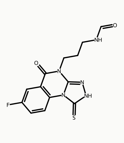 O=CNCCCn1c(=O)c2cc(F)ccc2n2c(=S)[nH]nc12